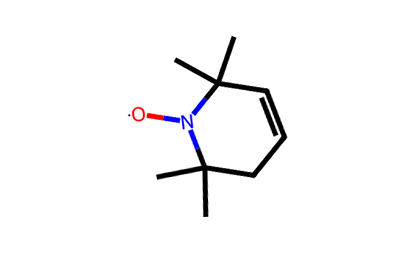 CC1(C)C=CCC(C)(C)N1[O]